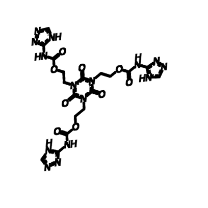 O=C(Nc1nnc[nH]1)OCCn1c(=O)n(CCOC(=O)Nc2nnc[nH]2)c(=O)n(CCOC(=O)Nc2nnc[nH]2)c1=O